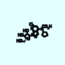 O=C(O)N(c1cc(Cl)nc2c1cnn2[C@@H]1O[C@H](CO)[C@@H](O)[C@H]1O)C1CCCC1